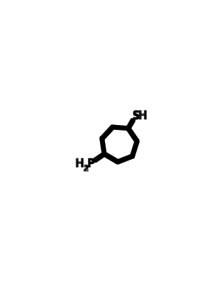 PC1CCCC(S)CC1